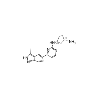 Cc1[nH]nc2ccc(-c3ccnc(N[C@H]4CC[C@H](N)C4)n3)cc12